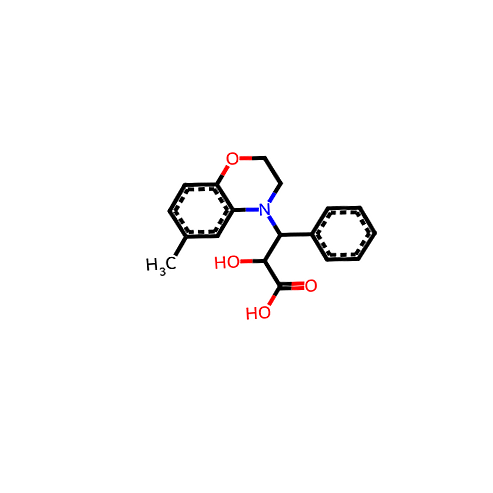 Cc1ccc2c(c1)N(C(c1ccccc1)C(O)C(=O)O)CCO2